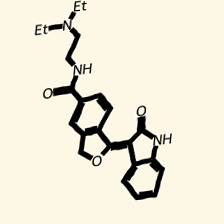 CCN(CC)CCNC(=O)c1ccc2c(c1)CO/C2=C1/C(=O)Nc2ccccc21